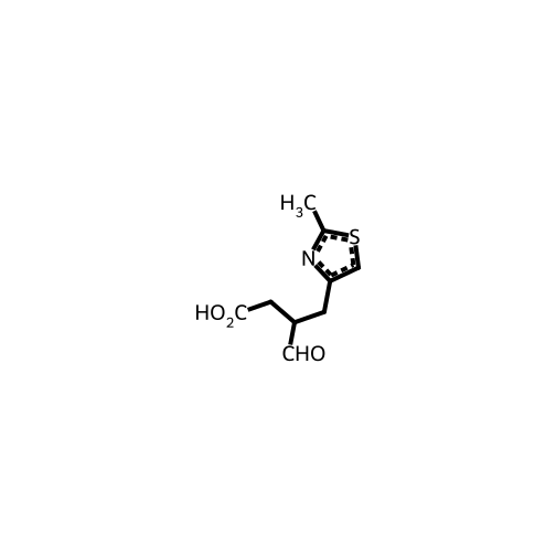 Cc1nc(CC(C=O)CC(=O)O)cs1